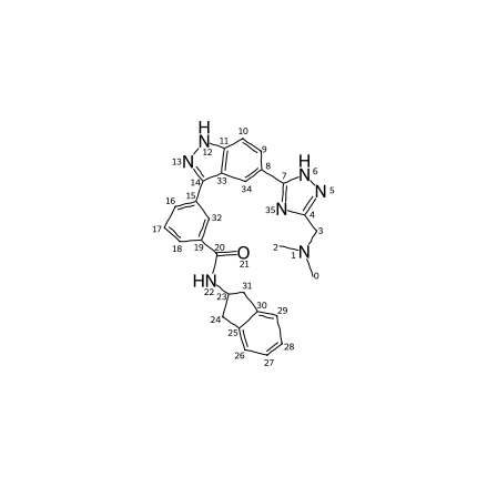 CN(C)Cc1n[nH]c(-c2ccc3[nH]nc(-c4cccc(C(=O)NC5Cc6ccccc6C5)c4)c3c2)n1